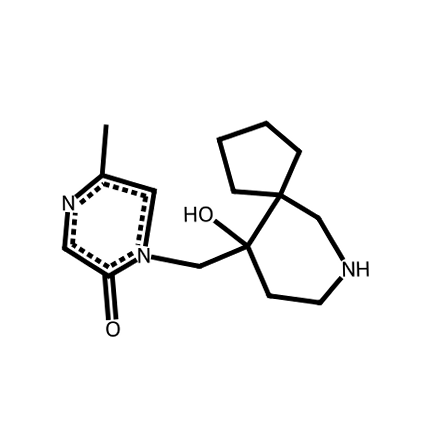 Cc1cn(CC2(O)CCNCC23CCCC3)c(=O)cn1